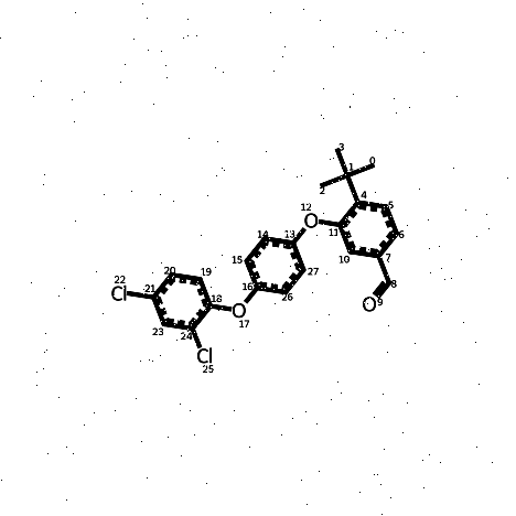 CC(C)(C)c1ccc(C=O)cc1Oc1ccc(Oc2ccc(Cl)cc2Cl)cc1